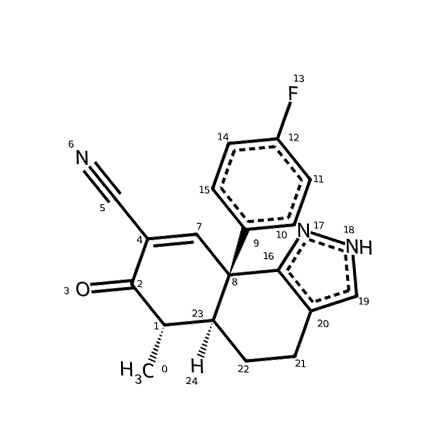 C[C@@H]1C(=O)C(C#N)=C[C@]2(c3ccc(F)cc3)c3n[nH]cc3CC[C@@H]12